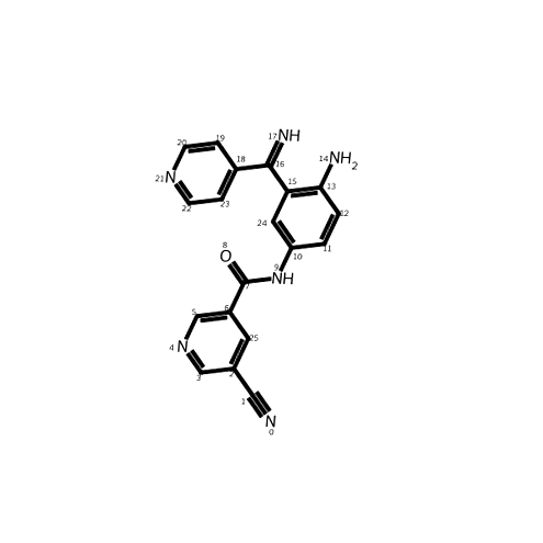 N#Cc1cncc(C(=O)Nc2ccc(N)c(C(=N)c3ccncc3)c2)c1